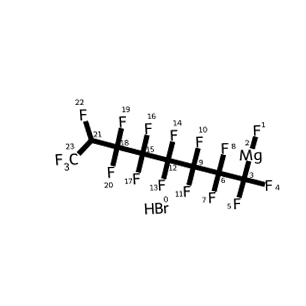 Br.[F][Mg][C](F)(F)C(F)(F)C(F)(F)C(F)(F)C(F)(F)C(F)(F)C(F)C(F)(F)F